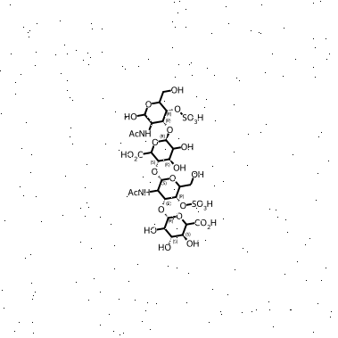 CC(=O)NC1C(O)OC(CO)[C@H](OS(=O)(=O)O)[C@@H]1O[C@@H]1OC(C(=O)O)[C@@H](O[C@@H]2OC(CO)[C@H](OS(=O)(=O)O)[C@H](O[C@@H]3OC(C(=O)O)[C@@H](O)[C@H](O)C3O)C2NC(C)=O)[C@H](O)C1O